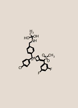 CC(O)(O)NCc1ccc([C@H](c2ccc(Cl)cc2)N2CC(=C(c3cc(F)cc(F)c3)S(C)(=O)=O)C2)cc1